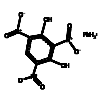 O=[N+]([O-])c1cc([N+](=O)[O-])c(O)c([N+](=O)[O-])c1O.[PbH2]